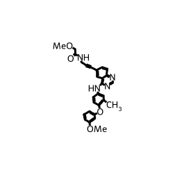 COCC(=O)NCC#Cc1ccc2ncnc(Nc3ccc(Oc4cccc(OC)c4)c(C)c3)c2c1